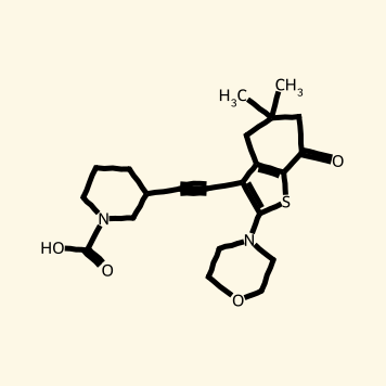 CC1(C)CC(=O)c2sc(N3CCOCC3)c(C#CC3CCCN(C(=O)O)C3)c2C1